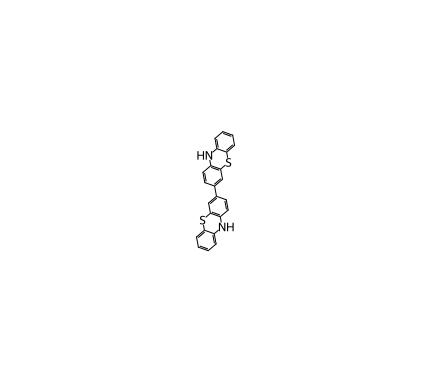 c1ccc2c(c1)Nc1ccc(-c3ccc4c(c3)Sc3ccccc3N4)cc1S2